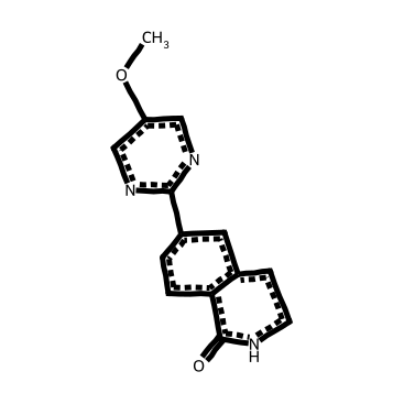 COc1cnc(-c2ccc3c(=O)[nH]ccc3c2)nc1